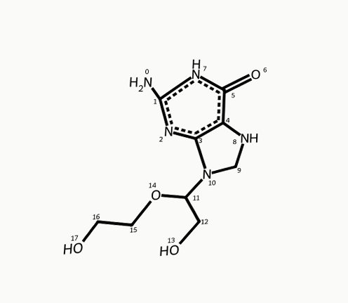 Nc1nc2c(c(=O)[nH]1)NCN2C(CO)OCCO